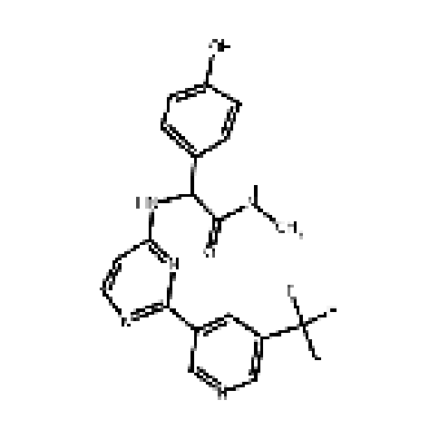 CNC(=O)C(Nc1ccnc(-c2cncc(C(F)(F)F)c2)n1)c1ccc(O)cc1